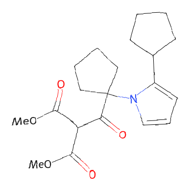 COC(=O)C(C(=O)OC)C(=O)C1(n2cccc2C2CCCC2)CCCC1